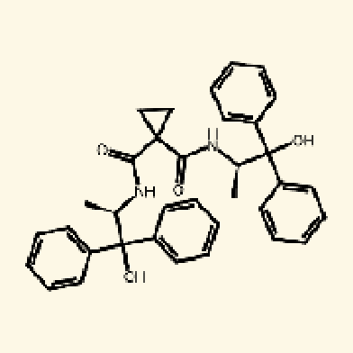 C[C@@H](NC(=O)C1(C(=O)N[C@H](C)C(O)(c2ccccc2)c2ccccc2)CC1)C(O)(c1ccccc1)c1ccccc1